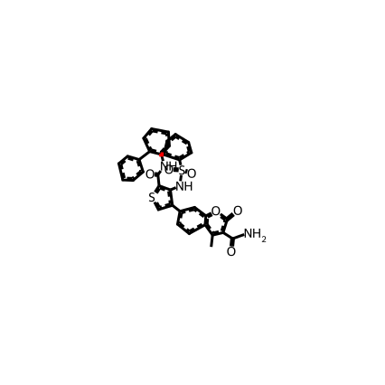 Cc1c(C(N)=O)c(=O)oc2cc(-c3csc(C(=O)Nc4ccccc4-c4ccccc4)c3NS(=O)(=O)c3ccccc3)ccc12